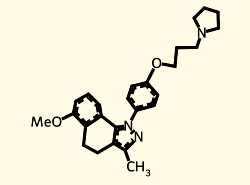 COc1cccc2c1CCc1c(C)nn(-c3ccc(OCCCN4CCCC4)cc3)c1-2